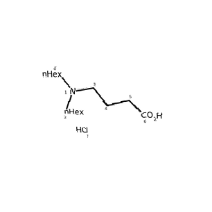 CCCCCCN(CCCCCC)CCCC(=O)O.Cl